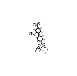 CC(C)(C)OC(=O)N1CCN(c2ccc([N+](=O)[O-])cc2CCl)CC1